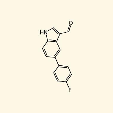 O=Cc1c[nH]c2ccc(-c3ccc(F)cc3)cc12